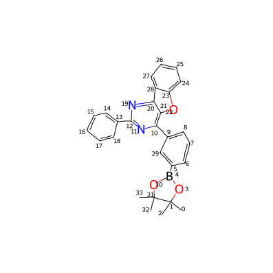 CC1(C)OB(c2cccc(-c3nc(-c4ccccc4)nc4c3oc3ccccc34)c2)OC1(C)C